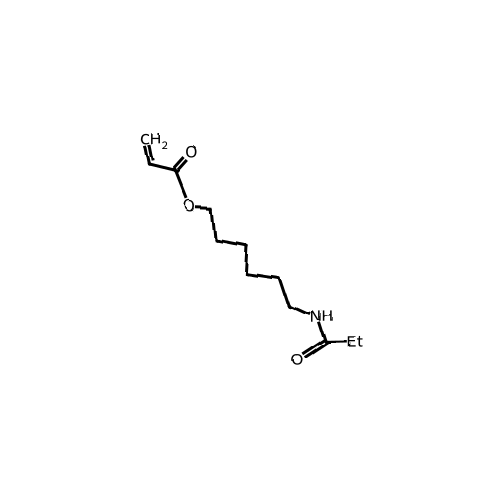 C=CC(=O)OCCCCCCNC(=O)CC